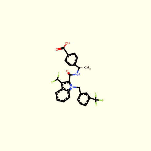 C[C@H](NC(=O)c1c(C(F)F)c2ccccc2n1Cc1cccc(C(F)(F)F)c1)c1ccc(C(=O)O)cc1